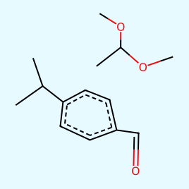 CC(C)c1ccc(C=O)cc1.COC(C)OC